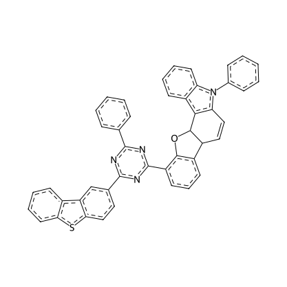 C1=CC2c3cccc(-c4nc(-c5ccccc5)nc(-c5ccc6sc7ccccc7c6c5)n4)c3OC2c2c1n(-c1ccccc1)c1ccccc21